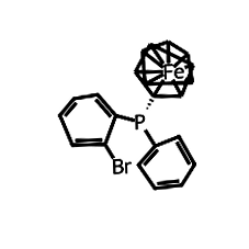 Brc1ccccc1[P@@](c1ccccc1)[C]12[CH]3[CH]4[CH]5[CH]1[Fe]45321678[CH]2[CH]1[CH]6[CH]7[CH]28